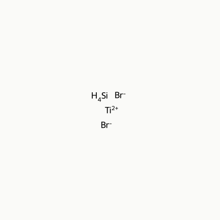 [Br-].[Br-].[SiH4].[Ti+2]